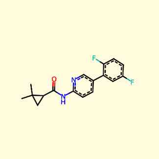 CC1(C)CC1C(=O)Nc1ccc(-c2cc(F)ccc2F)cn1